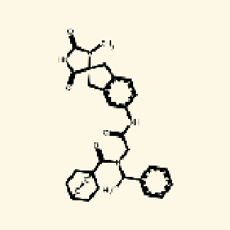 C[C@H](c1ccccc1)N(CC(=O)Nc1ccc2c(c1)C[C@@]1(C2)C(=O)NC(=O)N1C)C(=O)C12CCC(CC1)CC2